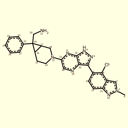 Cn1cc2c(Cl)c(-c3n[nH]c4nc(N5CCC6C(C5)C6(CN)c5ccccc5)cnc34)ccc2n1